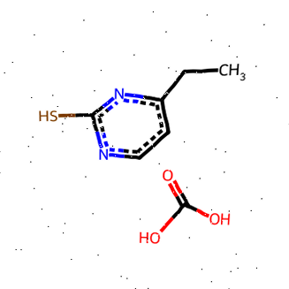 CCc1ccnc(S)n1.O=C(O)O